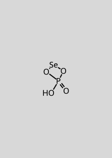 O=P1(O)O[Se]O1